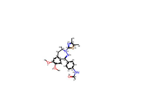 COc1cc2c(cc1OC)C(c1ccc(NC(C)=O)cc1)=NN(c1nc(C)c(C)s1)[C@H](C)C2